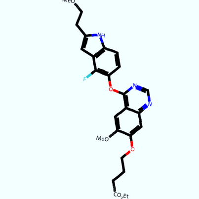 CCOC(=O)CCCOc1cc2ncnc(Oc3ccc4[nH]c(CCOC)cc4c3F)c2cc1OC